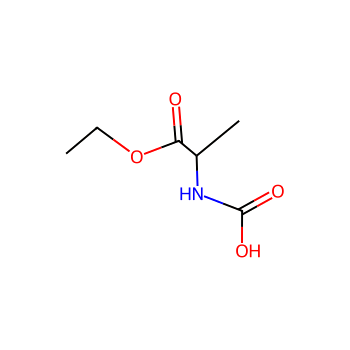 CCOC(=O)C(C)NC(=O)O